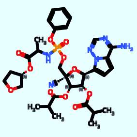 CC(C)C(=O)O[C@H]1[C@H](c2ccc3c(N)ncnn23)O[C@](C#N)(COP(=O)(NC(C)C(=O)O[C@H]2CCOC2)Oc2ccccc2)[C@H]1OC(=O)C(C)C